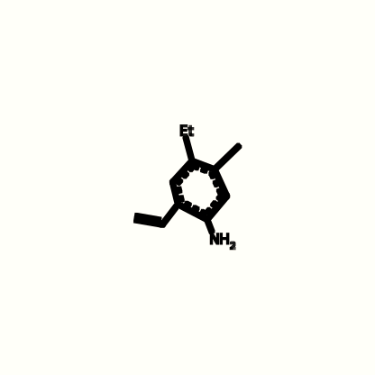 C=Cc1cc(CC)c(C)cc1N